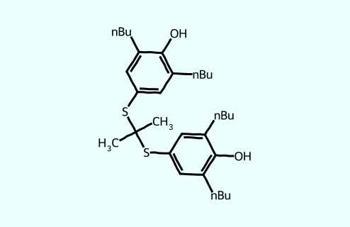 CCCCc1cc(SC(C)(C)Sc2cc(CCCC)c(O)c(CCCC)c2)cc(CCCC)c1O